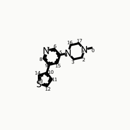 CN1CCN(c2cncc(-c3ccsc3)c2)CC1